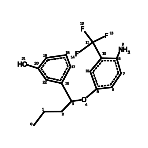 CCCC(Oc1ccc(N)c(C(F)(F)F)c1)c1cccc(O)c1